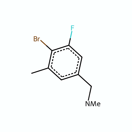 CNCc1cc(C)c(Br)c(F)c1